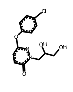 O=c1ccc(Oc2ccc(Cl)cc2)nn1CC(O)CO